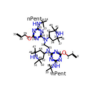 C=CCOc1nc(NC(C)(C)CCCCC)nc(N(CCN(c2nc(NC(C)(C)CCCCC)nc(OCC=C)n2)C2CC(C)(C)NC(C)(C)C2)C2CC(C)(C)NC(C)(C)C2)n1